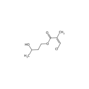 CC(=CCl)C(=O)OCCC(C)O